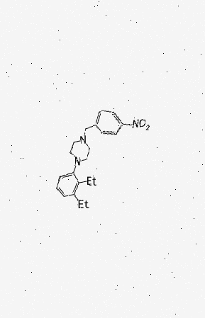 CCc1cccc(N2CCN(Cc3ccc([N+](=O)[O-])cc3)CC2)c1CC